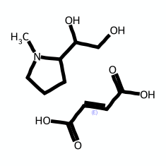 CN1CCCC1C(O)CO.O=C(O)/C=C/C(=O)O